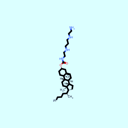 CC(C)CCC[C@@H](C)[C@H]1CC[C@H]2[C@@H]3CC=C4C[C@@H](OC(=O)NCCNCCCNCCN)CC[C@]4(C)[C@H]3CC[C@]12C